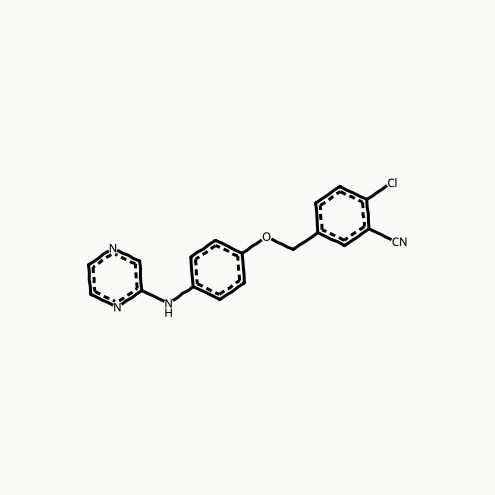 N#Cc1cc(COc2ccc(Nc3cnccn3)cc2)ccc1Cl